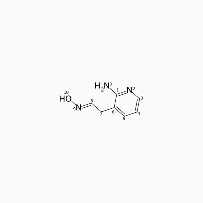 Nc1ncccc1CC=NO